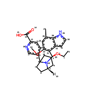 CCO[C@H]1C[C@@H]2CCC(c3ccc(C(=O)O)nc3)(C1)N2Cc1c(OC)cc(C)c2[nH]ccc12